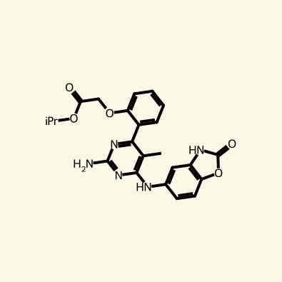 Cc1c(Nc2ccc3oc(=O)[nH]c3c2)nc(N)nc1-c1ccccc1OCC(=O)OC(C)C